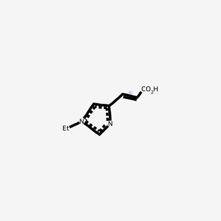 CCn1cnc(/C=C/C(=O)O)c1